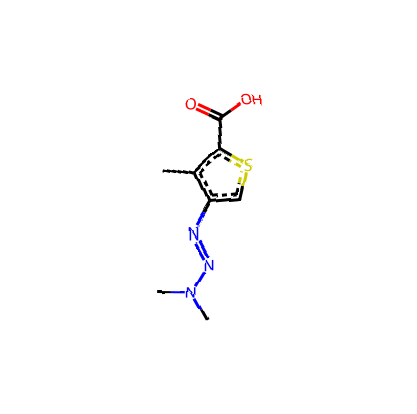 Cc1c(N=NN(C)C)csc1C(=O)O